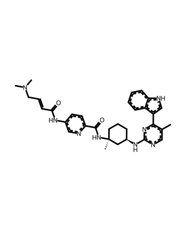 Cc1cnc(N[C@@H]2CCC[C@](C)(NC(=O)c3ccc(NC(=O)/C=C/CN(C)C)cn3)C2)nc1-c1c[nH]c2ccccc12